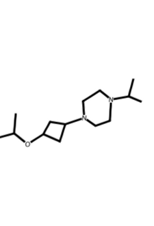 CC(C)OC1CC(N2CCN(C(C)C)CC2)C1